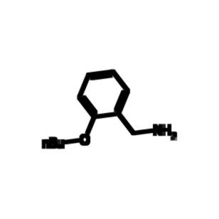 CCCCOc1ccccc1CN